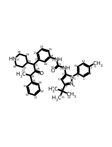 Cc1ccc(-n2nc(C(C)(C)C)cc2NC(=O)Nc2cccc(C(C(=O)C(C)c3ccccc3)C3CCNCC3)c2)cc1